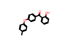 Cc1ccc(Oc2ccc(C(=O)c3ccccc3O)cc2)cc1